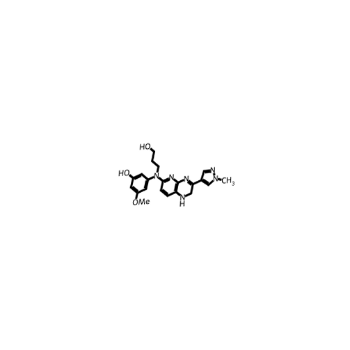 COc1cc(O)cc(N(CCCO)c2ccc3c(n2)N=C(c2cnn(C)c2)CN3)c1